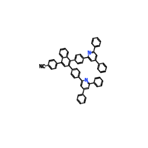 N#Cc1ccc(-c2cc(-c3ccc(-c4cc(-c5ccccc5)cc(-c5ccccc5)n4)cc3)c(-c3ccc(-c4cc(-c5ccccc5)cc(-c5ccccc5)n4)cc3)c3ccccc23)cc1